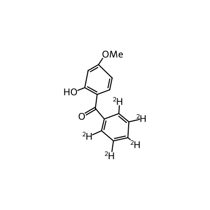 [2H]c1c([2H])c([2H])c(C(=O)c2ccc(OC)cc2O)c([2H])c1[2H]